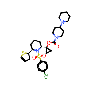 O=C(OC1([C@H]2CCC[C@@H](C3CC=CS3)N2S(=O)(=O)c2ccc(Cl)cc2)CC1)N1CCC(N2CCCCC2)CC1